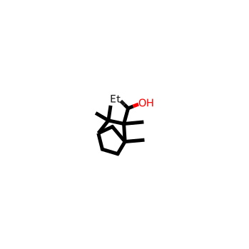 CCC(O)C1(C)C2(C)CCC(C2)C1(C)C